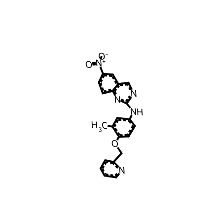 Cc1cc(Nc2ncc3cc([N+](=O)[O-])ccc3n2)ccc1OCc1ccccn1